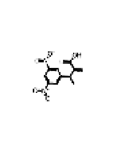 C=C(C(=O)O)C(C)c1cc([N+](=O)[O-])cc([N+](=O)[O-])c1